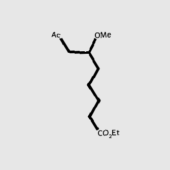 CCOC(=O)CCCCC(CC(C)=O)OC